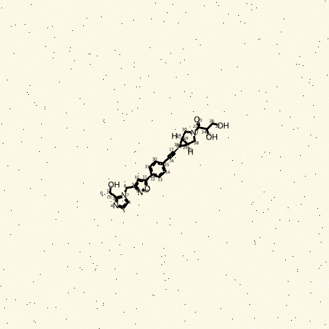 C[C@H](O)c1nccn1Cc1cc(-c2ccc(C#C[C@H]3[C@H]4CN(C(=O)C(O)CO)C[C@@H]34)cc2)on1